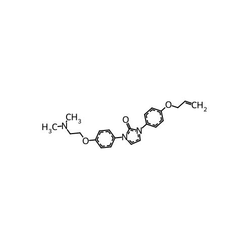 C=CCOc1ccc(-n2ccn(-c3ccc(OCCN(C)C)cc3)c2=O)cc1